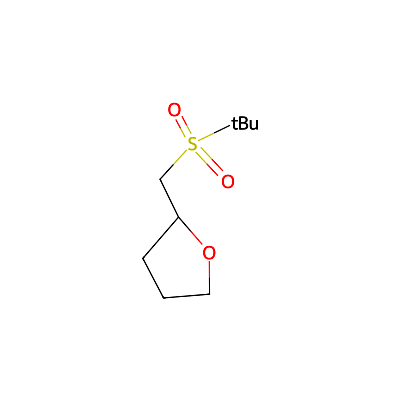 CC(C)(C)S(=O)(=O)CC1CCCO1